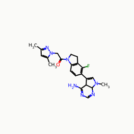 Cc1cc(C)n(CC(=O)N2CCc3c2ccc(C2=CN(C)C4N=CN=C(N)C24)c3F)n1